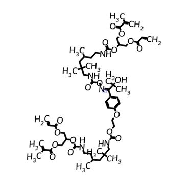 C=CC(=O)OCC(COC(=O)C(=C)C)OC(=O)NCCC(C)CC(C)(C)CNC(=O)OCCOc1ccc(/C(=N/OC(=O)NCC(C)(C)CC(C)CCNC(=O)OC(COC(=O)C=C)COC(=O)C(=C)C)C(C)(C)O)cc1